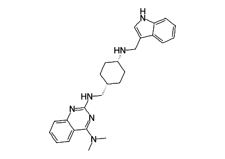 CN(C)c1nc(NC[C@H]2CC[C@@H](NCc3c[nH]c4ccccc34)CC2)nc2ccccc12